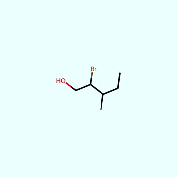 CCC(C)C(Br)CO